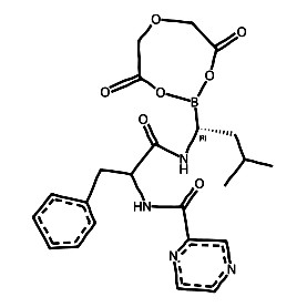 CC(C)C[C@H](NC(=O)C(Cc1ccccc1)NC(=O)c1cnccn1)B1OC(=O)COCC(=O)O1